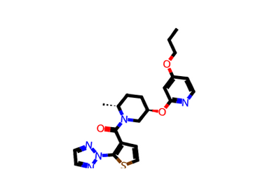 CCCOc1ccnc(O[C@@H]2CC[C@@H](C)N(C(=O)c3ccsc3-n3nccn3)C2)c1